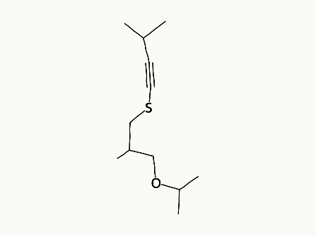 CC(C)C#CSCC(C)COC(C)C